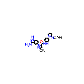 CON=C1CCCN1c1ccc(NC(=O)c2cc(C(F)(F)F)nn2-c2ccc3[nH]nc(N)c3c2)cc1